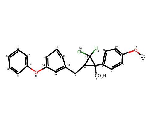 CCOc1ccc(C2(C(=O)O)C(Cc3cccc(Oc4ccccc4)c3)C2(Cl)Cl)cc1